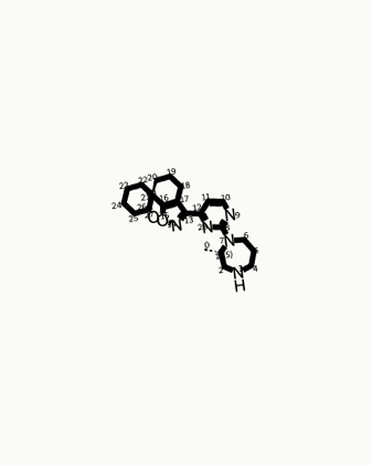 C[C@H]1CNCCCN1c1nccc(-c2noc3c2CCC[C@@]32CCCCC2=O)n1